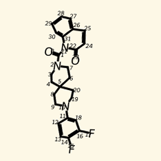 O=C(N1CCC2(CC1)CCN(c1ccc(F)c(F)c1)CC2)n1c(=O)ccc2ccccc21